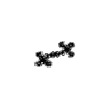 CN1C(C)(C)CC(OC(=O)OC(CCCC(=O)OCC(C)(C)C2OCC3(CO2)COC(C(C)(C)COC(=O)CCCC(OC(=O)OC2CC(C)(C)N(C)C(C)(C)C2)(OC(=O)OC2CC(C)(C)N(C)C(C)(C)C2)OC(=O)OC2CC(C)(C)N(C)C(C)(C)C2)OC3)(OC(=O)OC2CC(C)(C)N(C)C(C)(C)C2)OC(=O)OC2CC(C)(C)N(C)C(C)(C)C2)CC1(C)C